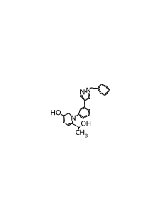 CC(O)C1=CC=C(O)CN1c1cccc(-c2cnn(Cc3ccccc3)c2)c1